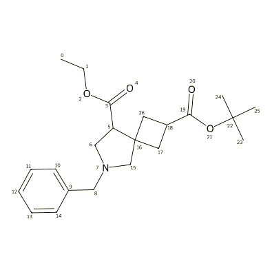 CCOC(=O)C1CN(Cc2ccccc2)CC12CC(C(=O)OC(C)(C)C)C2